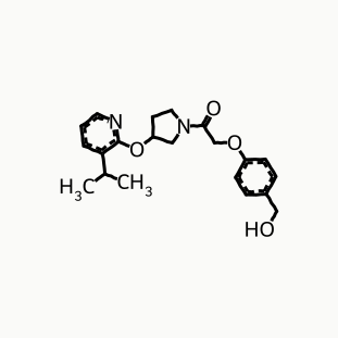 CC(C)c1cccnc1OC1CCN(C(=O)COc2ccc(CO)cc2)C1